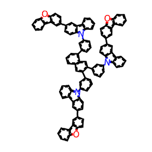 c1cc(-c2cc3cccc(-c4cccc(-n5c6ccccc6c6cc(-c7ccc8oc9ccccc9c8c7)ccc65)c4)c3cc2-c2cccc(-n3c4ccccc4c4cc(-c5ccc6oc7ccccc7c6c5)ccc43)c2)cc(-n2c3ccccc3c3cc(-c4ccc5oc6ccccc6c5c4)ccc32)c1